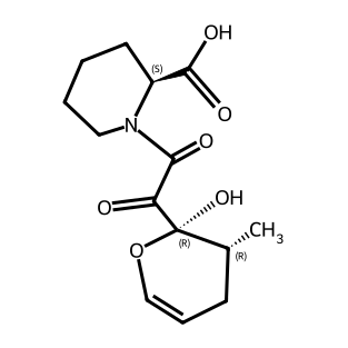 C[C@@H]1CC=CO[C@@]1(O)C(=O)C(=O)N1CCCC[C@H]1C(=O)O